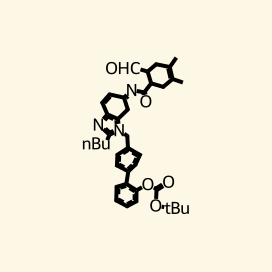 CCCCc1nc2c(n1Cc1ccc(-c3ccccc3OC(=O)OC(C)(C)C)cc1)CC(=NC(=O)C1CC(C)=C(C)CC1C=O)C=C2